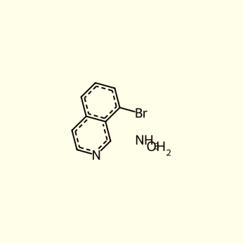 Brc1cccc2ccncc12.N.O